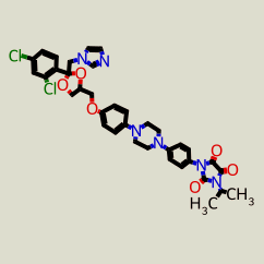 CC(C)N1C(=O)C(=O)N(c2ccc(N3CCN(c4ccc(OCC5COC(Cn6ccnc6)(c6ccc(Cl)cc6Cl)O5)cc4)CC3)cc2)C1=O